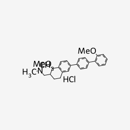 COc1ccccc1-c1ccc(-c2ccc3c(c2)CCC(CN(C)C)C3OC)cc1.Cl